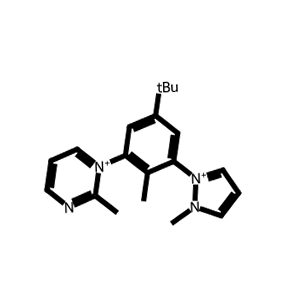 Cc1c(-[n+]2cccnc2C)cc(C(C)(C)C)cc1-[n+]1cccn1C